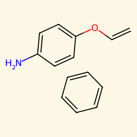 C=COc1ccc(N)cc1.c1ccccc1